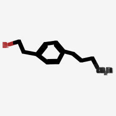 CCOC(=O)CCCc1ccc(CCBr)cc1